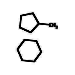 C1CCCCC1.CC1CCCC1